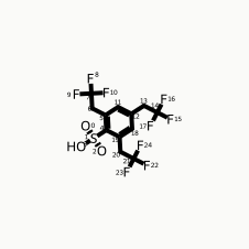 O=S(=O)(O)c1c(CC(F)(F)F)cc(CC(F)(F)F)cc1CC(F)(F)F